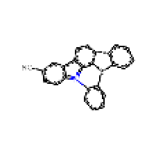 N#Cc1ccc2c(c1)c1ccc3c4c1n2-c1ccccc1B4c1ccccc1-3